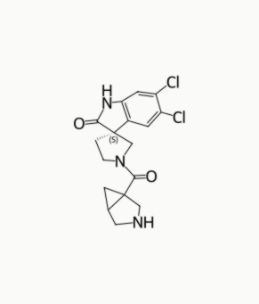 O=C(N1CC[C@]2(C1)C(=O)Nc1cc(Cl)c(Cl)cc12)C12CNCC1C2